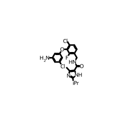 Cc1nc(C(C)C)[nH]c1C(=O)NCc1ccc(Cl)c(Oc2cc(N)cc(Cl)c2)c1F